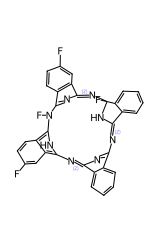 Fc1ccc2c(c1)/C1=N/C3(F)N/C(=N\C4=NC(=N\c5[nH]c(c6ccc(F)cc56)N(F)C2=N1)/c1ccccc14)c1ccccc13